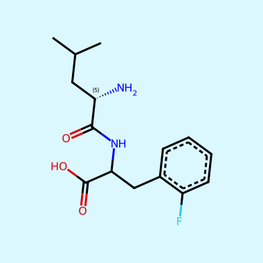 CC(C)C[C@H](N)C(=O)NC(Cc1ccccc1F)C(=O)O